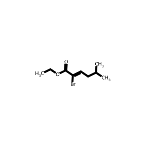 CCOC(=O)/C(Br)=C/CC(C)C